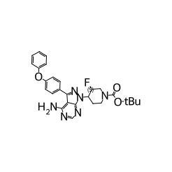 CC(C)(C)OC(=O)N1CCC(n2nc(-c3ccc(Oc4ccccc4)cc3)c3c(N)ncnc32)[C@@H](F)C1